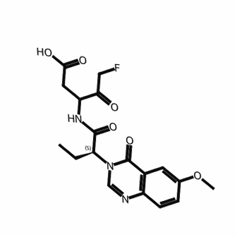 CC[C@@H](C(=O)NC(CC(=O)O)C(=O)CF)n1cnc2ccc(OC)cc2c1=O